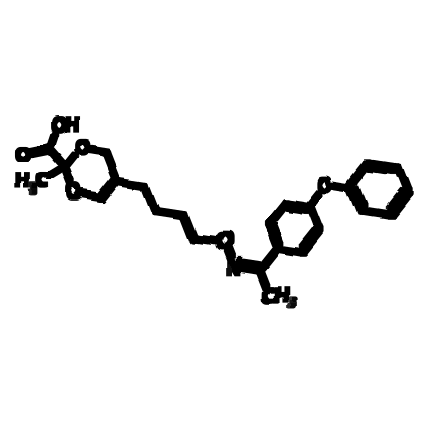 C/C(=N/OCCCCC1COC(C)(C(=O)O)OC1)c1ccc(Oc2ccccc2)cc1